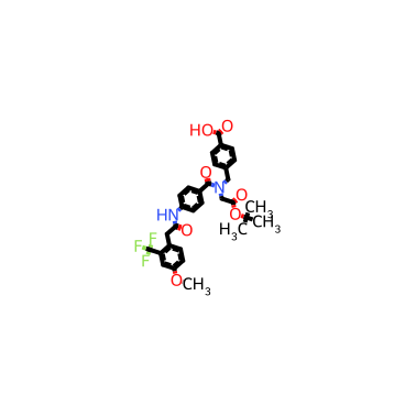 COc1ccc(CC(=O)Nc2ccc(C(=O)N(CC(=O)OC(C)(C)C)Cc3ccc(C(=O)O)cc3)cc2)c(C(F)(F)F)c1